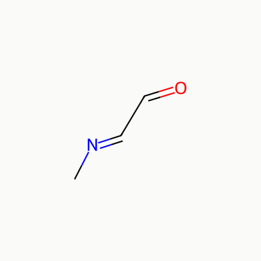 CN=CC=O